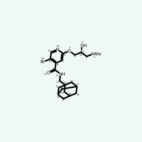 CNC[C@H](O)COc1cc(C(=O)NCC23CC4CC(CC(C4)C2)C3)c(Br)cn1